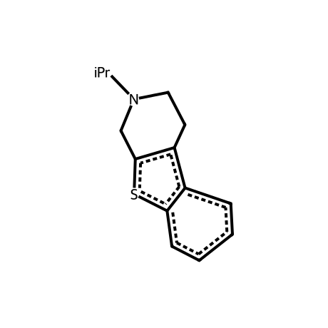 CC(C)N1CCc2c(sc3ccccc23)C1